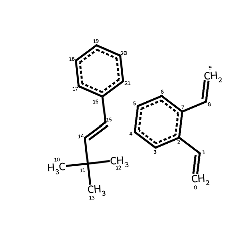 C=Cc1ccccc1C=C.CC(C)(C)C=Cc1ccccc1